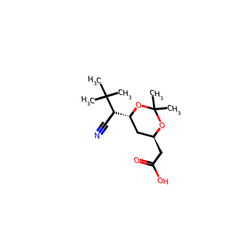 CC1(C)O[C@@H](CC(=O)O)C[C@H](C(C#N)C(C)(C)C)O1